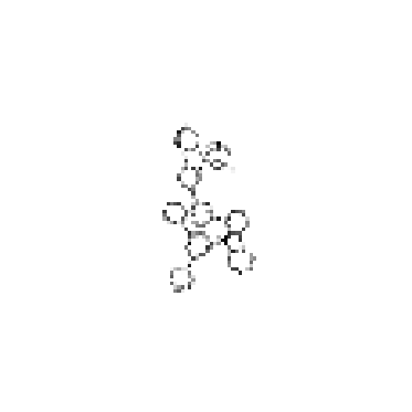 CC1(C)c2ccccc2-c2ccc(-c3cccc(-c4cccc5c6ccccc6n(-c6cc(-c7ccccc7)cc(-c7ccccc7)c6)c45)c3)cc21